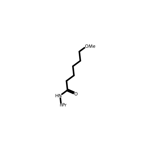 CCCNC(=O)CCCCCOC